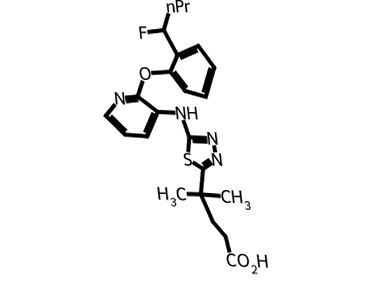 CCCC(F)c1ccccc1Oc1ncccc1Nc1nnc(C(C)(C)CCC(=O)O)s1